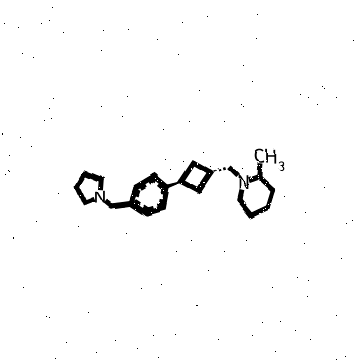 CC1CCCCN1C[C@H]1C[C@H](c2ccc(CN3CCCC3)cc2)C1